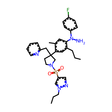 CCCc1cc(C2(Cc3ccccn3)CCN(S(=O)(=O)c3cnn(CCC)c3)C2)c(C)cc1N(N)c1ccc(F)cc1